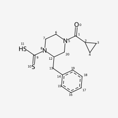 O=C(C1CC1)N1CCN(C(=S)S)C(Cc2ccccc2)C1